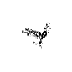 C=C(C)C(=O)OCC(CCCC)(OOC(=O)C(=C)C)Oc1ccccc1.[CH2]C[O].[CH2]C[O].[CH2]C[O].[CH2]C[O].[CH2]C[O].[CH2]C[O].[CH2]C[O]